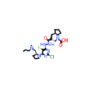 CCCN(C)C[C@@H]1CCCN1c1nc(Cl)nc(NNC(=O)[C@@H](CNC(=O)O)CC2CCCC2)c1F